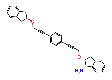 N[C@H]1c2ccccc2C[C@H]1OCC#Cc1ccc(C#CCOC2Cc3ccccc3C2)cc1